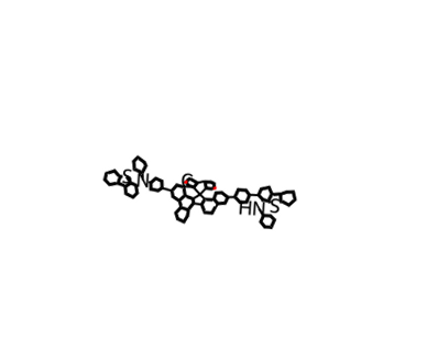 c1ccc(Nc2c(-c3ccc(-c4ccc5c6c(ccc5c4)-c4c(c5ccc(-c7ccc(N(c8ccccc8)c8cccc9c8sc8ccccc89)cc7)cc5c5ccccc45)C64c5ccccc5-c5ccccc54)cc3)ccc3c2sc2ccccc23)cc1